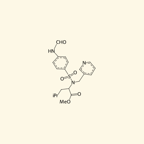 COC(=O)C(CC(C)C)N(Cc1cccnc1)S(=O)(=O)c1ccc(NC=O)cc1